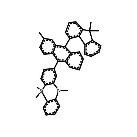 Cc1ccc2c(-c3ccc4c(c3)N(C)c3ccccc3[Si]4(C)C)c3ccccc3c(-c3cccc4c3-c3ccccc3C4(C)C)c2c1